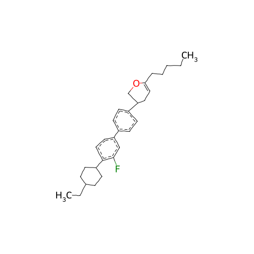 CCCCCC1=CCC(c2ccc(-c3ccc(C4CCC(CC)CC4)c(F)c3)cc2)CO1